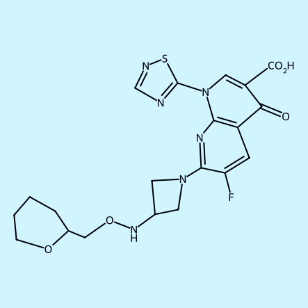 O=C(O)c1cn(-c2ncns2)c2nc(N3CC(NOCC4CCCCO4)C3)c(F)cc2c1=O